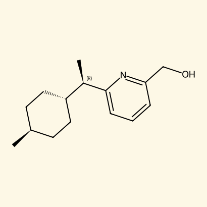 C[C@@H](c1cccc(CO)n1)[C@H]1CC[C@H](C)CC1